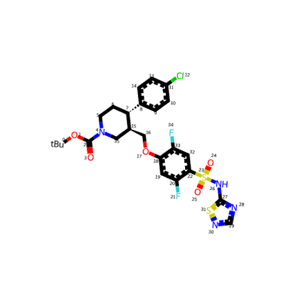 CC(C)(C)OC(=O)N1CC[C@H](c2ccc(Cl)cc2)[C@@H](COc2cc(F)c(S(=O)(=O)Nc3ncns3)cc2F)C1